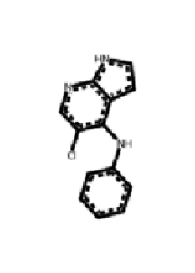 Clc1cnc2[nH]ccc2c1Nc1ccccc1